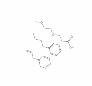 C=CCN1C=CC=CC1.CCCC[n+]1ccccc1.COCCOCCC(=O)O